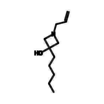 C=CCN1CC(O)(CCCCC)C1